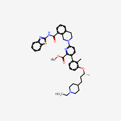 Cc1c(O[C@H](C)CCC2CCN(CC(=O)O)CC2)cccc1-c1ccc(N2CCc3cccc(C(=O)Nc4nc5ccccc5s4)c3C2)nc1C(=O)OC(C)(C)C